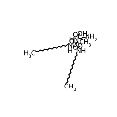 CCCCCCCCCCCCCCCCNC(=O)OC(C)C(NC(CCCN)C(=O)O)OC(=O)NCCCCCCCCCCCCCCCC